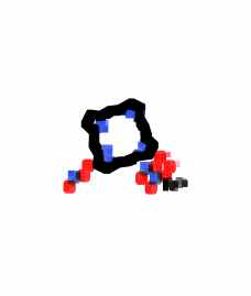 C1=Cc2cc3ccc(cc4nc(cc5ccc(cc1n2)[nH]5)C=C4)[nH]3.O=NO[O-].O=NO[O-].O=NO[O-].[Fe+3]